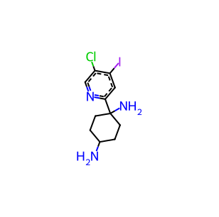 NC1CCC(N)(c2cc(I)c(Cl)cn2)CC1